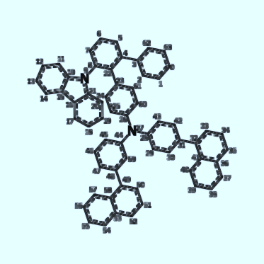 c1ccc(-c2cccc(-n3c4ccccc4c4ccccc43)c2-c2ccc(N(c3ccc(-c4cccc5ccccc45)cc3)c3cccc(-c4cccc5ccccc45)c3)cc2)cc1